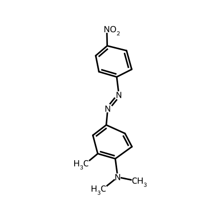 Cc1cc(N=Nc2ccc([N+](=O)[O-])cc2)ccc1N(C)C